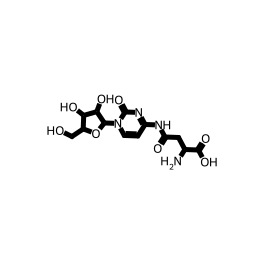 NC(CC(=O)Nc1ccn(C2OC(CO)C(O)C2O)c(=O)n1)C(=O)O